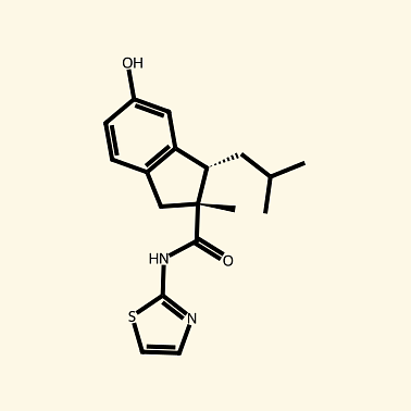 CC(C)C[C@H]1c2cc(O)ccc2C[C@@]1(C)C(=O)Nc1nccs1